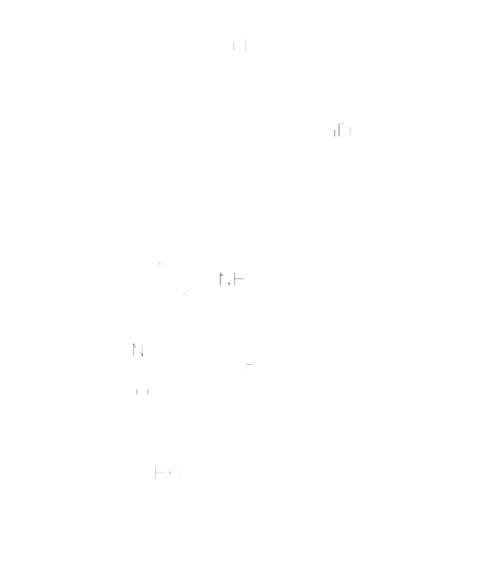 CCC/C=C(/CCNC(=O)c1cc(C(O)c2cc(C)ccc2F)on1)c1cc(Cl)ccc1C